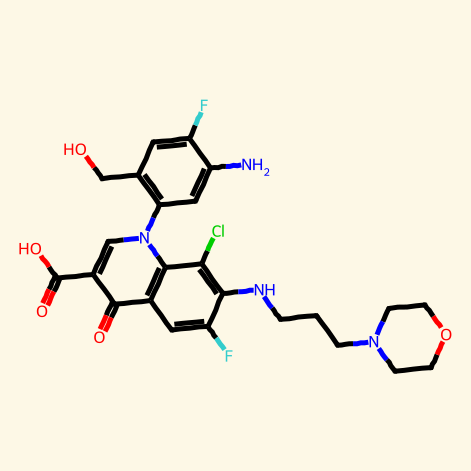 Nc1cc(-n2cc(C(=O)O)c(=O)c3cc(F)c(NCCCN4CCOCC4)c(Cl)c32)c(CO)cc1F